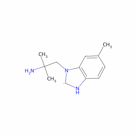 Cc1ccc2c(c1)N(CC(C)(C)N)[CH]N2